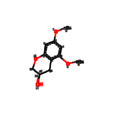 CCCCOc1cc(OCCCC)c2c(c1)OC[C@H](O)C2